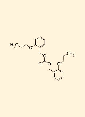 CCCOc1ccccc1COC(=O)OCc1ccccc1OCCC